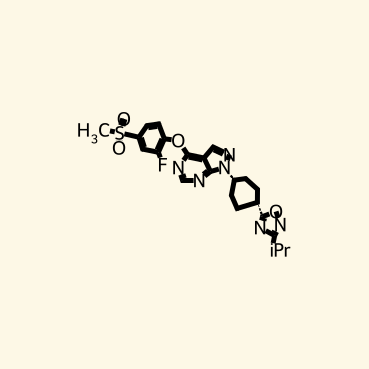 CC(C)c1noc([C@H]2CC[C@@H](n3ncc4c(Oc5ccc(S(C)(=O)=O)cc5F)ncnc43)CC2)n1